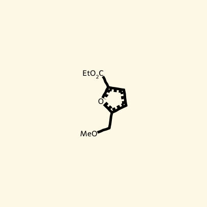 [CH2]OCc1ccc(C(=O)OCC)o1